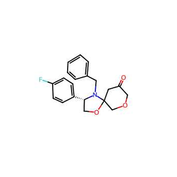 O=C1COCC2(C1)OC[C@H](c1ccc(F)cc1)N2Cc1ccccc1